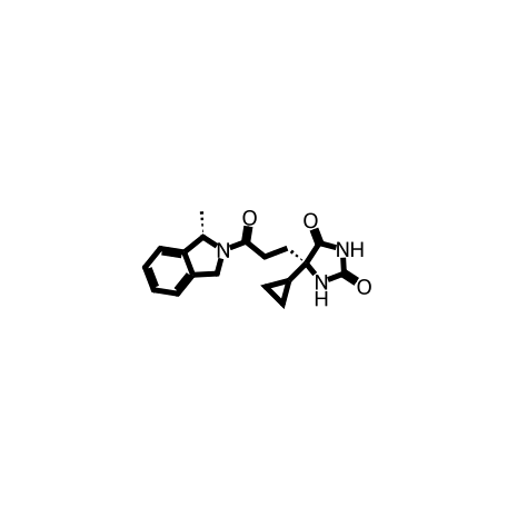 C[C@H]1c2ccccc2CN1C(=O)CC[C@@]1(C2CC2)NC(=O)NC1=O